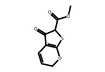 COC(=O)C1SC2=C(C=CCO2)C1=O